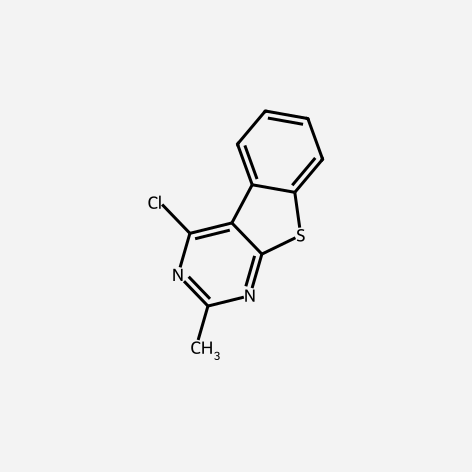 Cc1nc(Cl)c2c(n1)sc1ccccc12